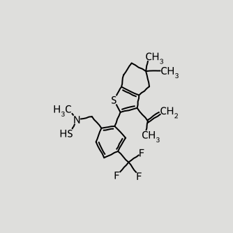 C=C(C)c1c(-c2cc(C(F)(F)F)ccc2CN(C)S)sc2c1CC(C)(C)CC2